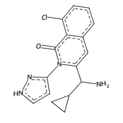 NC(c1cc2cccc(Cl)c2c(=O)n1-c1cc[nH]n1)C1CC1